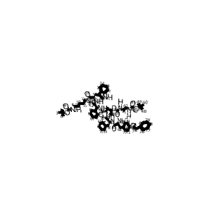 CC(C)(C)OC(=O)NCCCCCNC(=O)[C@@H](Cc1c[nH]c2ccccc12)NC(=O)[C@@H](NC(=O)[C@@H]1C[C@@H](OC(=O)NCCNC(=O)OC(C)(C)C)CN1C(=O)[C@H](Cc1ccccc1)NC(=O)[C@@H](N)Cc1ccc(OCc2ccccc2)cc1)c1ccccc1